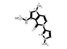 Cn1ccc(-n2ccc3c(c(NC(=O)O)cn3C)c2=O)n1